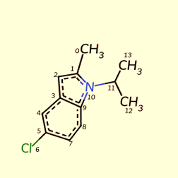 Cc1cc2cc(Cl)ccc2n1C(C)C